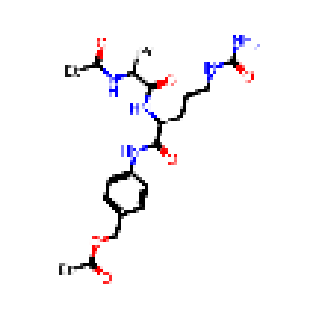 CCC(=O)N[C@H](C(=O)N[C@@H](CCCNC(N)=O)C(=O)Nc1ccc(COC(=O)CC)cc1)C(C)C